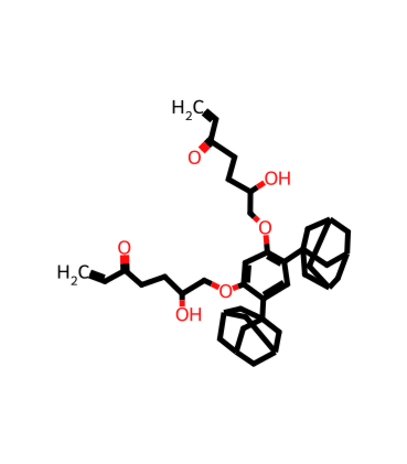 C=CC(=O)CCC(O)COc1cc(OCC(O)CCC(=O)C=C)c(C23CC4CC(CC(C4)C2)C3)cc1C12CC3CC(CC(C3)C1)C2